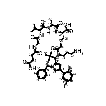 CC(C)[C@H](NC(=O)CNC(=O)CCC(=O)O)C(=O)N[C@@H](C)C(=O)N[C@@H](CSCC(=O)N(CCCN)[C@@H](c1cc(-c2cc(F)ccc2F)cn1Cc1ccccc1)C(C)(C)C)C(=O)O